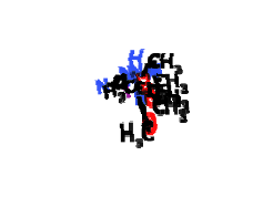 CCn1nc(C)cc1C(=O)Nc1nc2cc(C#N)cc(I)c2n1CC(C)(C)CN(CCCOC)C(=O)OC(C)(C)C